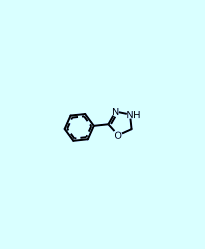 c1ccc(C2=NNCO2)cc1